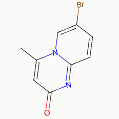 Cc1cc(=O)nc2ccc(Br)cn12